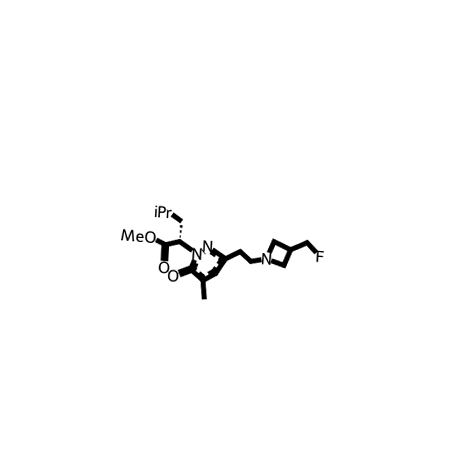 COC(=O)[C@H](CC(C)C)n1nc(CCN2CC(CF)C2)cc(C)c1=O